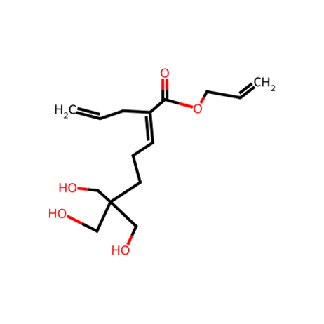 C=CCOC(=O)C(=CCCC(CO)(CO)CO)CC=C